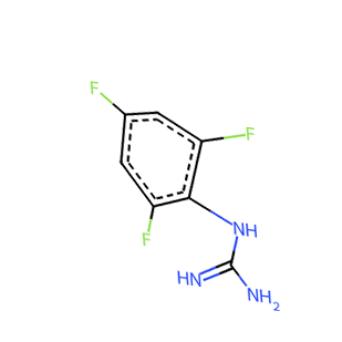 N=C(N)Nc1c(F)cc(F)cc1F